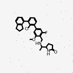 COc1cc(-c2cccc(-c3cccc4c3CCC4)c2Cl)cc(F)c1CNC(C)C1CCC(=O)N1